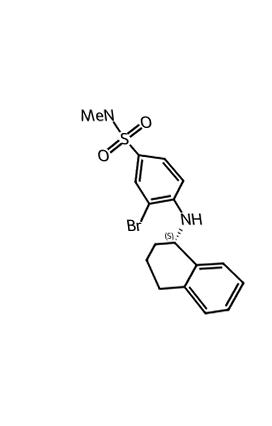 CNS(=O)(=O)c1ccc(N[C@H]2CCCc3ccccc32)c(Br)c1